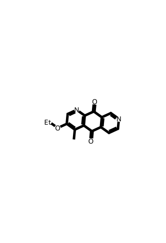 CCOc1cnc2c(c1C)C(=O)c1ccncc1C2=O